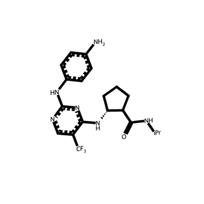 CC(C)NC(=O)C1CCC[C@H]1Nc1nc(Nc2ccc(N)cc2)ncc1C(F)(F)F